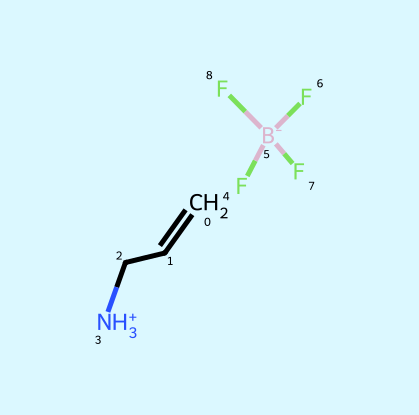 C=CC[NH3+].F[B-](F)(F)F